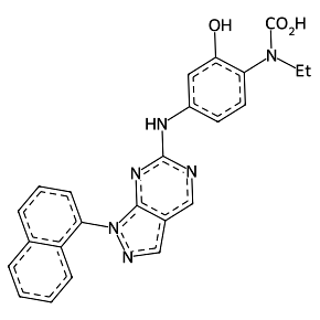 CCN(C(=O)O)c1ccc(Nc2ncc3cnn(-c4cccc5ccccc45)c3n2)cc1O